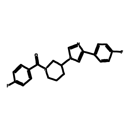 O=C(c1ccc(F)cc1)N1CCCC(n2cnc(-c3ccc(F)cc3)c2)C1